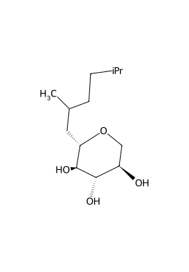 CC(C)CCC(C)C[C@@H]1OC[C@@H](O)[C@H](O)[C@H]1O